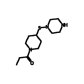 CCC(=O)N1CCC(SN2CCNCC2)CC1